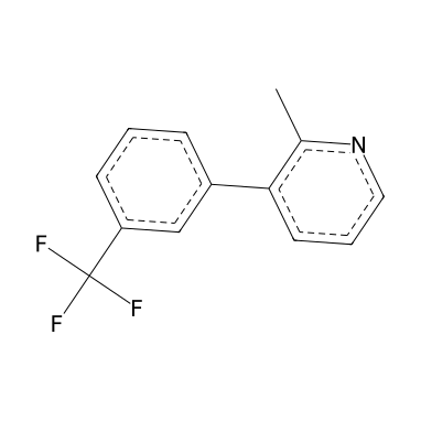 Cc1ncccc1-c1cccc(C(F)(F)F)c1